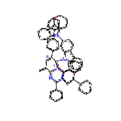 C=C(/C=C(\C(=C\c1ccc(-c2ccccc2)cc1)n1c2ccccc2c2ccc(-n3c4ccccc4c4ccccc43)cc21)c1ccc(-c2ccccc2)cc1)c1nc(-c2ccccc2)nc(-c2ccccc2)n1